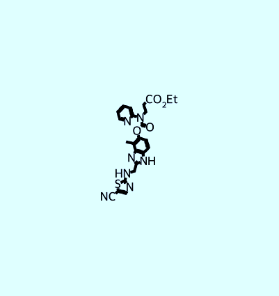 CCOC(=O)CCN(C(=O)Oc1ccc2[nH]c(CNc3ncc(C#N)s3)nc2c1C)c1ccccn1